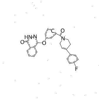 O=C(c1cccc(Oc2n[nH]c(=O)c3ccccc23)c1)N1CC=C(c2ccc(F)cc2)CC1